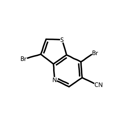 N#Cc1cnc2c(Br)csc2c1Br